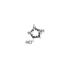 Cl.c1c[nH]nn1